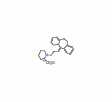 CCOC(=O)[C@H]1CCCCN1CCC=C1c2ccccc2CCc2ccccc21